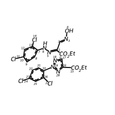 CCOC(=O)C(/C=N/O)=N/Nc1ccc(Cl)cc1Cl.CCOC(=O)c1cnn(-c2ccc(Cl)cc2Cl)n1